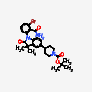 CC(C)(C)OC(=O)N1CCC(c2ccc3c(c2)C(C)(C)C(=O)N3c2cccc(Br)c2C(N)=O)CC1